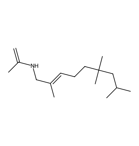 C=C(C)NCC(C)=CCCC(C)(C)CC(C)C